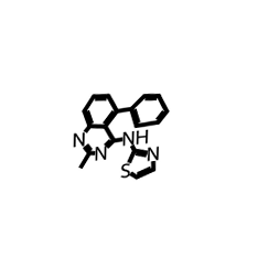 Cc1nc(Nc2nccs2)c2c(-c3ccccc3)cccc2n1